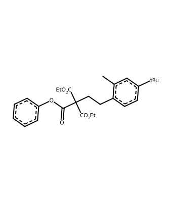 CCOC(=O)C(CCc1ccc(C(C)(C)C)cc1C)(C(=O)OCC)C(=O)Oc1ccccc1